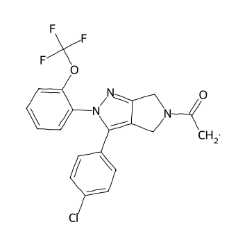 [CH2]C(=O)N1Cc2nn(-c3ccccc3OC(F)(F)F)c(-c3ccc(Cl)cc3)c2C1